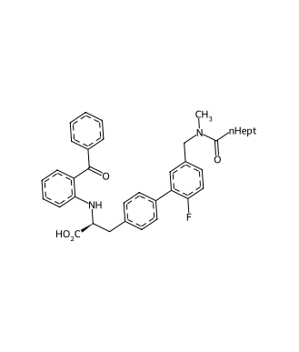 CCCCCCCC(=O)N(C)Cc1ccc(F)c(-c2ccc(C[C@H](Nc3ccccc3C(=O)c3ccccc3)C(=O)O)cc2)c1